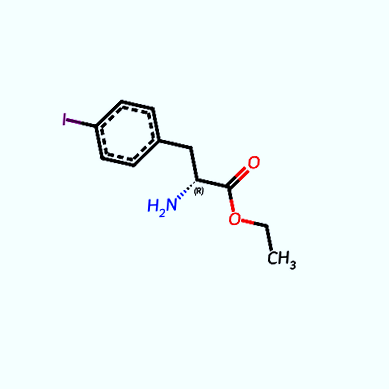 CCOC(=O)[C@H](N)Cc1ccc(I)cc1